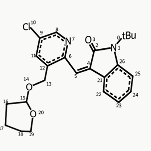 CC(C)(C)N1C(=O)C(=Cc2ncc(Cl)cc2COC2CCCCO2)c2ccccc21